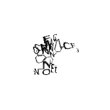 CC[C@@H]1C[C@H](N(Cc2cc(C(F)(F)F)cc(C(F)(F)F)c2)c2nnn(C)n2)c2cc(OC(F)(F)F)ccc2N1C(=O)CN(C)C